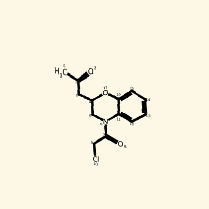 CC(=O)CC1CN(C(=O)CCl)c2ccccc2O1